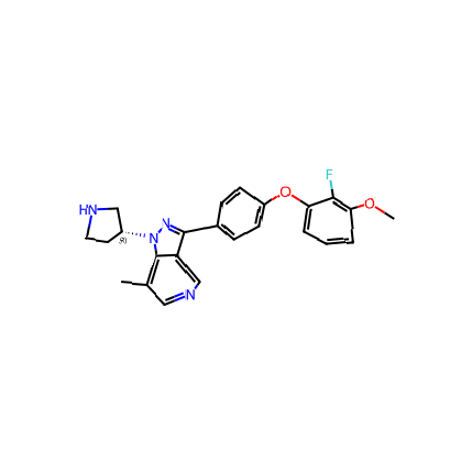 COc1cccc(Oc2ccc(-c3nn([C@@H]4CCNC4)c4c(C)cncc34)cc2)c1F